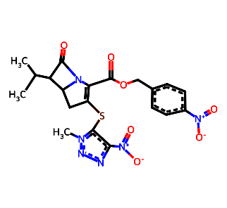 CC(C)C1C(=O)N2C(C(=O)OCc3ccc([N+](=O)[O-])cc3)=C(Sc3c([N+](=O)[O-])nnn3C)CC12